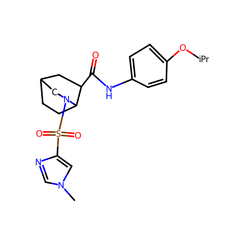 CC(C)Oc1ccc(NC(=O)C2CC3CCC2N(S(=O)(=O)c2cn(C)cn2)C3)cc1